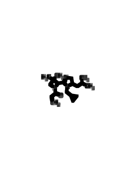 C=CC(=O)N1CC(C)(C)C1C1=NCC(CC(C)C)N1CC1CC1